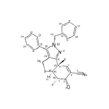 C[C@H]1C(=O)C(C#N)=C[C@@]2(C)c3nn(Cc4ccccc4)c(-c4ccccc4)c3CC[C@H]12